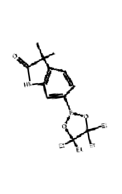 CCC1(CC)OB(c2ccc3c(c2)NC(=O)C3(C)C)OC1(CC)CC